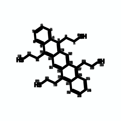 SCCc1c2ccccc2c(CCS)c2cc3c(CCS)c4ccccc4c(CCS)c3cc12